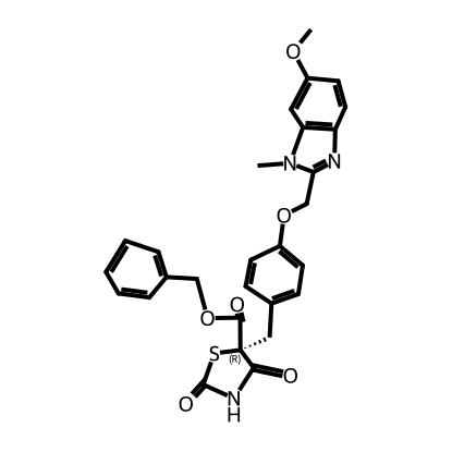 COc1ccc2nc(COc3ccc(C[C@@]4(C(=O)OCc5ccccc5)SC(=O)NC4=O)cc3)n(C)c2c1